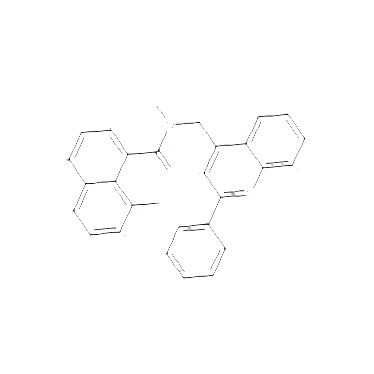 CCCN(Cc1cc(-c2ccccc2)nc2ccccc12)C(=O)c1cccc2cccc(Br)c12